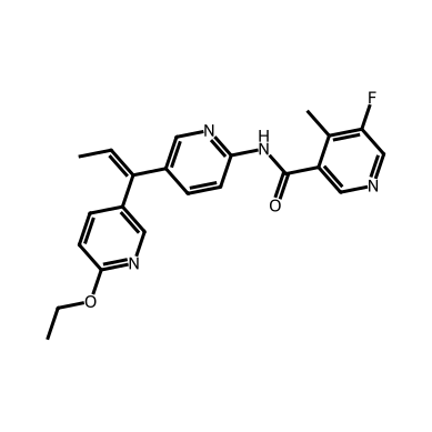 CC=C(c1ccc(NC(=O)c2cncc(F)c2C)nc1)c1ccc(OCC)nc1